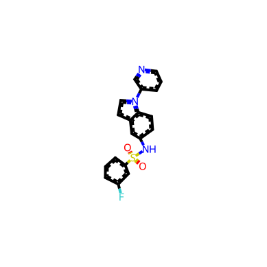 O=S(=O)(Nc1ccc2c(ccn2-c2cccnc2)c1)c1cccc(F)c1